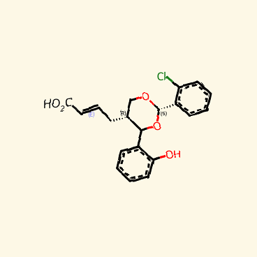 O=C(O)/C=C/C[C@@H]1CO[C@H](c2ccccc2Cl)OC1c1ccccc1O